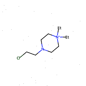 CC[N+]1(CC)CCN(CCCl)CC1